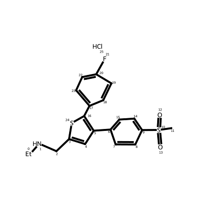 CCNCc1cc(-c2ccc(S(C)(=O)=O)cc2)c(-c2ccc(F)cc2)s1.Cl